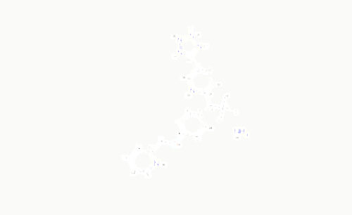 CC(C)(C)C(c1ccc(OCc2ccccn2)cc1)c1ccc(-c2nn[nH]n2)cn1.N